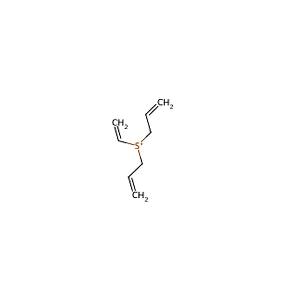 C=CC[S+](C=C)CC=C